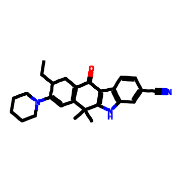 CCC1CC2=C(C=C1N1CCCCC1)C(C)(C)c1[nH]c3cc(C#N)ccc3c1C2=O